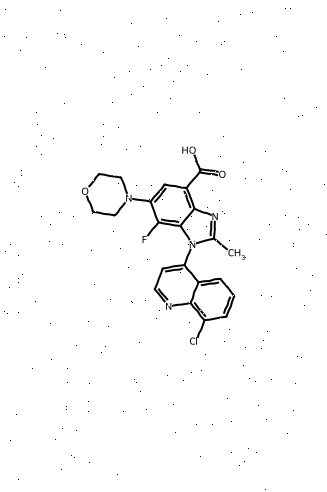 Cc1nc2c(C(=O)O)cc(N3CCOCC3)c(F)c2n1-c1ccnc2c(Cl)cccc12